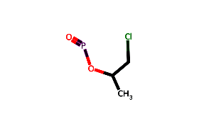 CC(CCl)OP=O